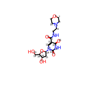 O=C(NCCN1CCOCC1)c1cn([C@H]2C[C@@H](O)C(CO)O2)c(=O)[nH]c1=O